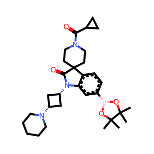 CC1(C)OB(c2ccc3c(c2)N([C@H]2C[C@@H](N4CCCCC4)C2)C(=O)C32CCN(C(=O)C3CC3)CC2)OC1(C)C